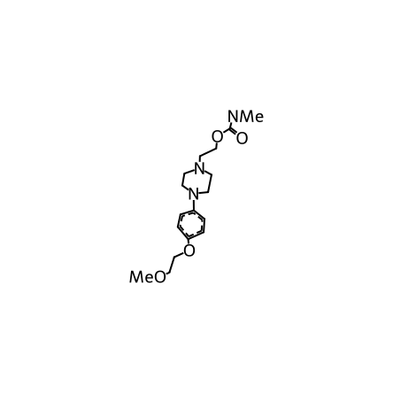 CNC(=O)OCCN1CCN(c2ccc(OCCOC)cc2)CC1